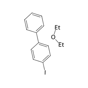 CCOCC.Ic1ccc(-c2ccccc2)cc1